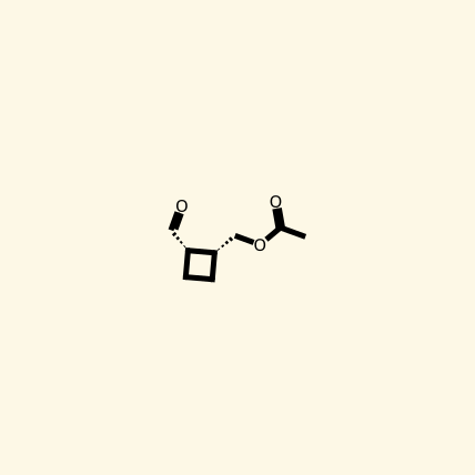 CC(=O)OC[C@@H]1CC[C@@H]1C=O